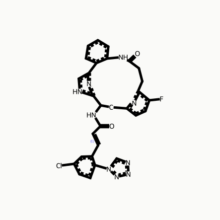 O=C(/C=C/c1cc(Cl)ccc1-n1cnnn1)NC1Cc2ccc(F)c(n2)CCC(=O)Nc2ccccc2-c2c[nH]c1n2